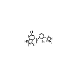 CCc1c(Nc2cc(Cl)nc3[nH]n(C)c(=O)c23)cccc1-c1nnn(C)n1